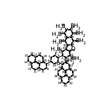 Bc1c(-c2ccc(-c3ccc4ccc5cccc6ccc3c4c56)cc2-c2ccc3ccc4cccc5ccc2c3c45)c(B)c2c(oc3c(B)c4c(B)c(B)c(B)c(B)c4c(B)c32)c1B